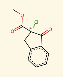 COC(=O)[C@]1(Cl)Cc2ccccc2C1=O